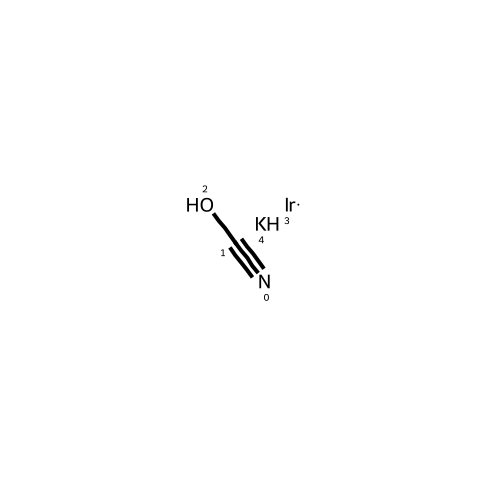 N#CO.[Ir].[KH]